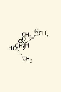 CCCCCCC(C)(O)CCNC(CCCCCCCC(C)=O)C(=O)OCC